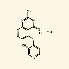 Cc1ccc2nc(N)[nH]c(=O)c2c1Sc1ccncc1.Cl.Cl